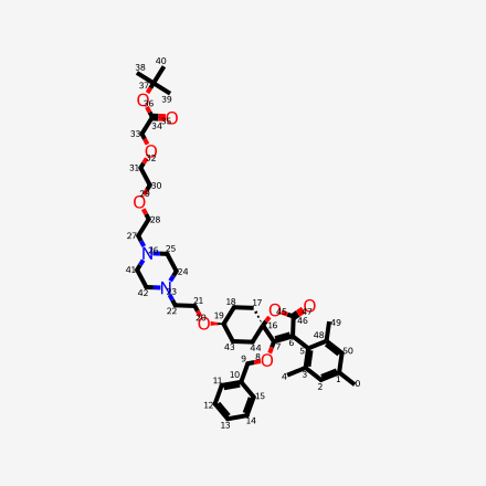 Cc1cc(C)c(C2=C(OCc3ccccc3)[C@]3(CC[C@H](OCCN4CCN(CCOCCOCC(=O)OC(C)(C)C)CC4)CC3)OC2=O)c(C)c1